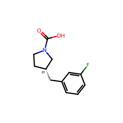 O=C(O)N1CC[C@@H](Cc2cccc(F)c2)C1